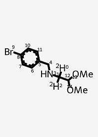 [2H]C([2H])(NCc1ccc(Br)cc1)C(OC)OC